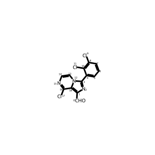 O=Cc1nc(-c2cccc(Cl)c2Cl)n2ccnc(Cl)c12